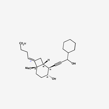 CO[C@]12CC[C@@H](O)[C@H](C#CC(O)C3CCCCC3)[C@H]1C/C2=C\CCC(=O)O